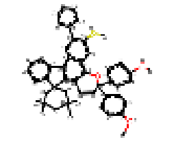 COc1ccc(C2(c3ccc(OC)cc3)C=Cc3c4c(c5cc(-c6ccccc6)c(SC)cc5c3O2)-c2ccccc2C42CC(C)(C)CC(C)(C)C2)cc1